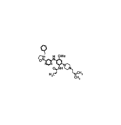 C=CC(=O)Nc1cc(Nc2cc(N3OCC[C@@H]3Cc3ccccc3)ncn2)c(OC)cc1N1CCN(CCN(C)C)CC1